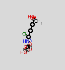 CC(CO)(CO)c1ccc(-c2ccc(-c3cc4nc(O[C@@H]5CO[C@H]6[C@@H]5OC[C@H]6O)[nH]c4cc3Cl)cc2)cc1